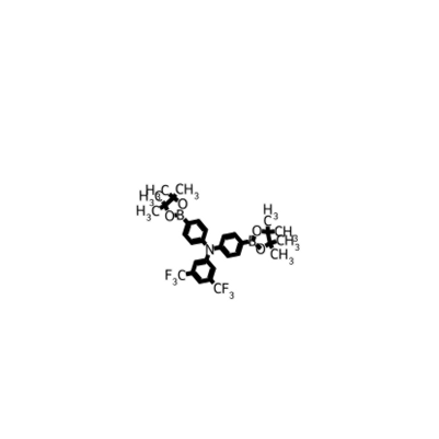 CC1(C)OB(c2ccc(N(c3ccc(B4OC(C)(C)C(C)(C)O4)cc3)c3cc(C(F)(F)F)cc(C(F)(F)F)c3)cc2)OC1(C)C